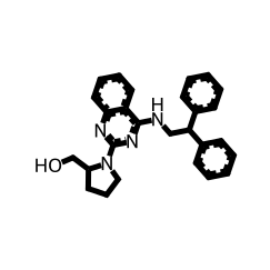 OCC1CCCN1c1nc(NCC(c2ccccc2)c2ccccc2)c2ccccc2n1